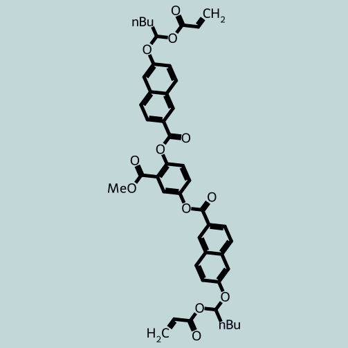 C=CC(=O)OC(CCCC)Oc1ccc2cc(C(=O)Oc3ccc(OC(=O)c4ccc5cc(OC(CCCC)OC(=O)C=C)ccc5c4)c(C(=O)OC)c3)ccc2c1